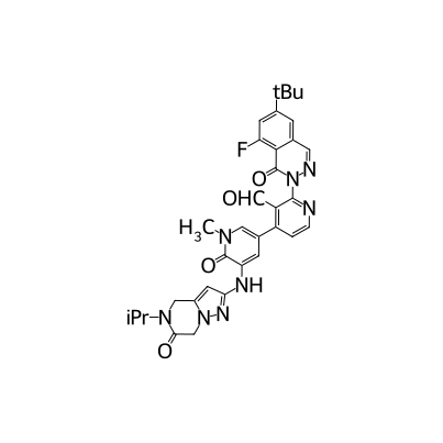 CC(C)N1Cc2cc(Nc3cc(-c4ccnc(-n5ncc6cc(C(C)(C)C)cc(F)c6c5=O)c4C=O)cn(C)c3=O)nn2CC1=O